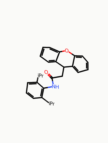 CC(C)c1cccc(C(C)C)c1NC(=O)CC1c2ccccc2Oc2ccccc21